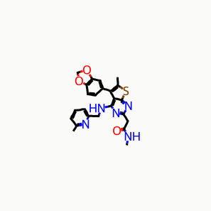 CNC(=O)Cc1nc(NCc2cccc(C)n2)c2c(-c3ccc4c(c3)OCO4)c(C)sc2n1